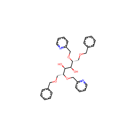 O[C@@H]([C@H](O)[C@@H](COCc1ccccc1)OCc1ccccn1)[C@@H](COCc1ccccc1)OCc1ccccn1